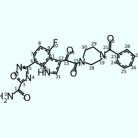 NC(=O)c1nc(-c2ccc(F)c3c(C(=O)C(=O)N4CCN(C(=O)c5ccccc5)CC4)c[nH]c23)no1